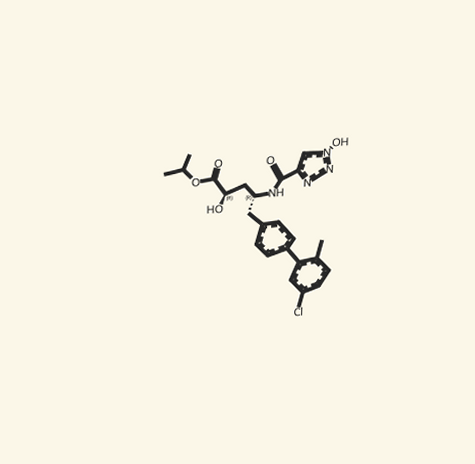 Cc1ccc(Cl)cc1-c1ccc(C[C@H](C[C@@H](O)C(=O)OC(C)C)NC(=O)c2cn(O)nn2)cc1